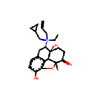 C=CC[N+](CC)(CC1CC1)[C@@H]1Cc2ccc(O)c3c2C2[C@@H](O3)C(=O)CC[C@]21O